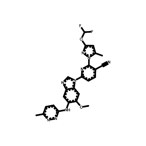 COc1cc2c(cc1Nc1ccc(C)nn1)ncn2-c1ccc(C#N)c(-n2nc(OC(F)F)cc2C)n1